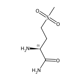 CS(=O)(=O)CC[C@H](N)C(N)=O